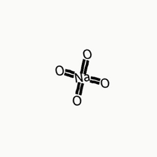 [O]=[Na](=[O])(=[O])=[O]